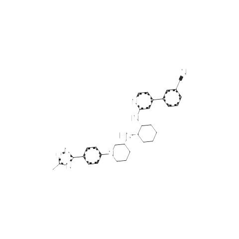 Cc1nc(-c2ccc(N3CCC[C@H](N[C@@H]4CCCC[C@H]4Nc4cc(-c5cccc(C#N)c5)ccn4)C3)cc2)no1